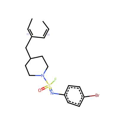 C/C=C\C(=C/C)CC1CCN(S(=O)(F)=Nc2ccc(Br)cc2)CC1